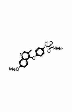 CNS(=O)(=O)Nc1ccc(Oc2c(C)cnc3cc(OC)ccc23)cc1